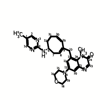 Cc1cnc(N[C@H]2C/C=C(/Cc3cc(N4CCOCC4)cc4ncc(=O)n(C)c34)C=CCC2)nc1